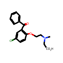 CN(CCOc1ccc(Cl)cc1C(=O)c1ccccc1)CC(=O)O